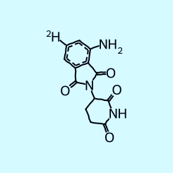 [2H]c1cc(N)c2c(c1)C(=O)N(C1CCC(=O)NC1=O)C2=O